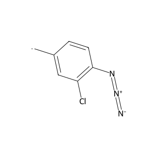 [CH2]c1ccc(N=[N+]=[N-])c(Cl)c1